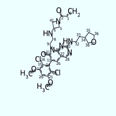 C=CC(=O)N1CC(NCCn2c(=O)c(-c3c(Cl)c(OC)cc(OC)c3Cl)cc3cnc(NCCC4CCOC4)nc32)C1